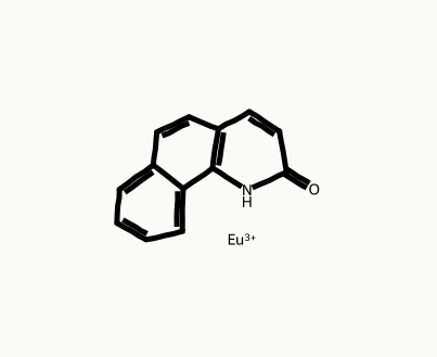 O=c1ccc2ccc3ccccc3c2[nH]1.[Eu+3]